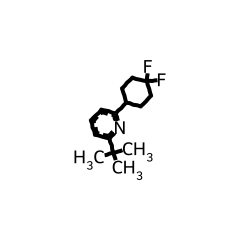 CC(C)(C)c1cccc(C2CCC(F)(F)CC2)n1